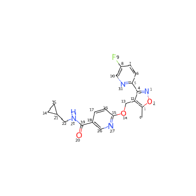 Cc1onc(-c2ccc(F)cn2)c1COc1ccc(C(=O)NCC2CC2)cn1